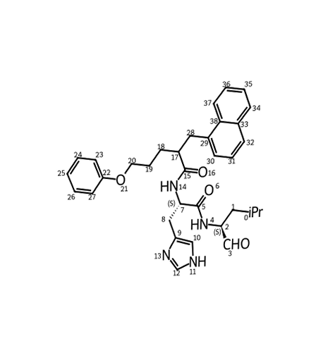 CC(C)C[C@@H](C=O)NC(=O)[C@H](Cc1c[nH]cn1)NC(=O)C(CCCOc1ccccc1)Cc1cccc2ccccc12